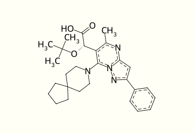 Cc1nc2cc(-c3ccccc3)nn2c(N2CCC3(CCCC3)CC2)c1[C@H](OC(C)(C)C)C(=O)O